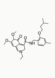 CCN1C=C2C=C(OC)C(OC)C(=O)C2=C(C(=O)NCc2ccc(C)cc2OCCC(C)C)C1